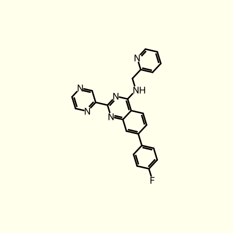 Fc1ccc(-c2ccc3c(NCc4ccccn4)nc(-c4cnccn4)nc3c2)cc1